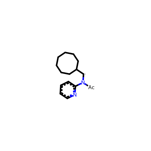 CC(=O)N([CH]C1CCCCCCC1)c1ccccn1